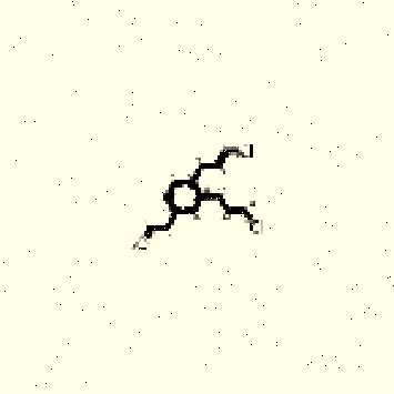 O=CCc1ccc(CC=CCl)c(CC=CCl)c1